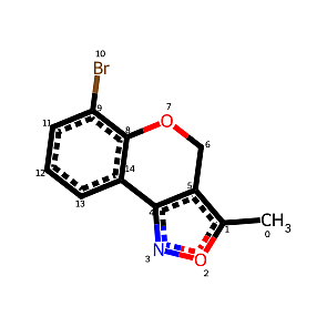 Cc1onc2c1COc1c(Br)cccc1-2